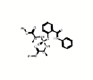 CC(C)OC(=O)[C@H](C)NP(=O)(N[C@@H](C)C(=O)OC(C)C)Oc1ccccc1C(=O)Nc1ccccc1